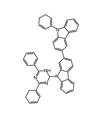 C1=CCCC(C2=NC(n3c4ccccc4c4ccc(-c5ccc6c(c5)c5ccccc5n6C5=CCCC=C5)cc43)NC(c3ccccc3)=N2)=C1